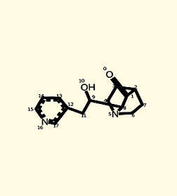 O=C1C2CCN(CC2)C1C(O)Cc1cccnc1